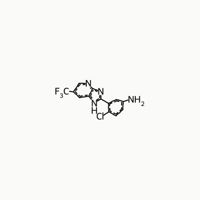 Nc1ccc(Cl)c(-c2nc3ncc(C(F)(F)F)cc3[nH]2)c1